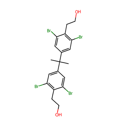 CC(C)(c1cc(Br)c(CCO)c(Br)c1)c1cc(Br)c(CCO)c(Br)c1